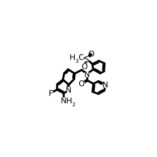 CS(=O)(=O)c1ccccc1N(Cc1ccc2cc(F)c(N)nc2c1)C(=O)c1cccnc1